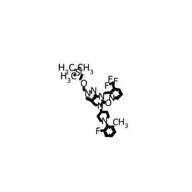 Cc1cccc(F)c1N1CCC(N2Cc3cn(COCC[Si](C)(C)C)nc3N(Cc3ncccc3C(F)(F)F)C2=O)CC1